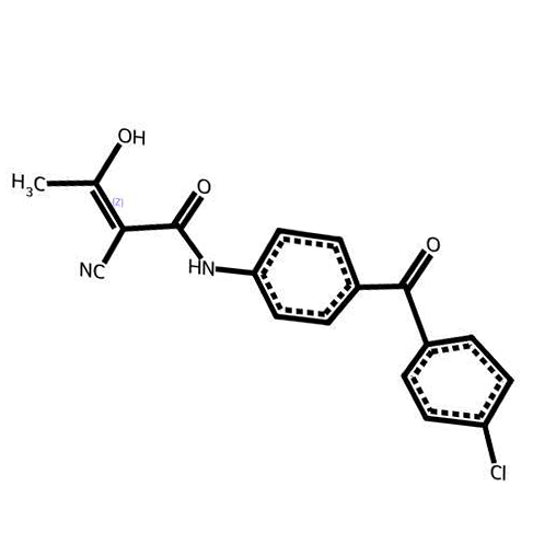 C/C(O)=C(\C#N)C(=O)Nc1ccc(C(=O)c2ccc(Cl)cc2)cc1